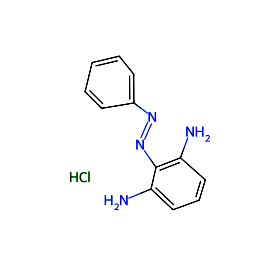 Cl.Nc1cccc(N)c1N=Nc1ccccc1